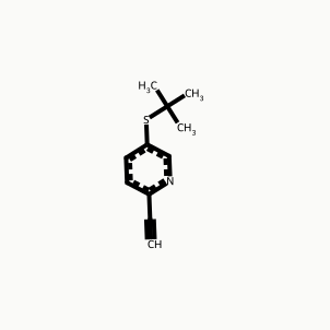 C#Cc1ccc(SC(C)(C)C)cn1